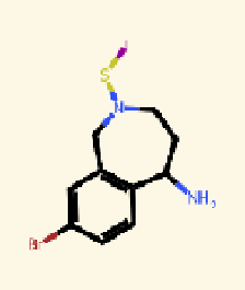 NC1CCN(SI)Cc2cc(Br)ccc21